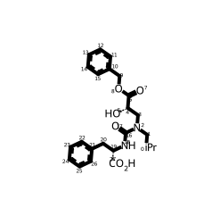 CC(C)CN(C[C@H](O)C(=O)OCc1ccccc1)C(=O)N[C@@H](Cc1ccccc1)C(=O)O